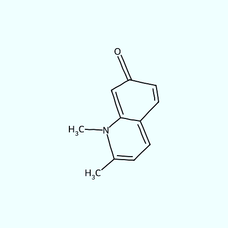 Cc1ccc2ccc(=O)cc-2n1C